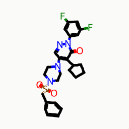 O=c1c(C2CCCC2)c(N2CCN(S(=O)(=O)Cc3ccccc3)CC2)cnn1-c1cc(F)cc(F)c1